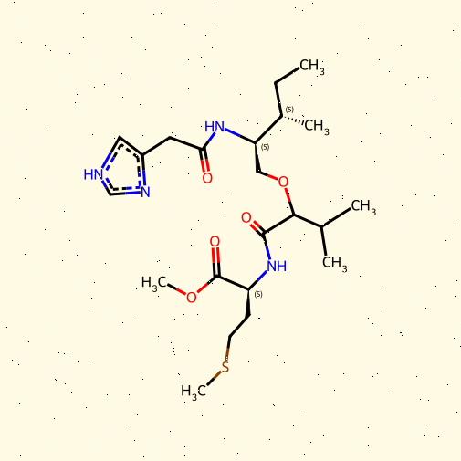 CC[C@H](C)[C@@H](COC(C(=O)N[C@@H](CCSC)C(=O)OC)C(C)C)NC(=O)Cc1c[nH]cn1